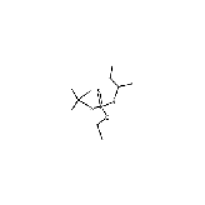 CCOP(=S)(SC(C)CC)SC(C)(C)C